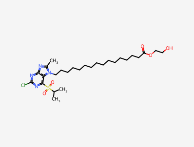 Cc1nc2nc(Cl)nc(S(=O)(=O)C(C)C)c2n1CCCCCCCCCCCCCCCC(=O)OCCO